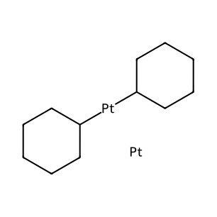 C1CC[CH]([Pt][CH]2CCCCC2)CC1.[Pt]